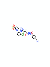 CS(=O)(=O)c1ccc(-c2nnc(/C(F)=C(\F)C(=O)NNC(=O)c3ccc(C#N)cc3)n2-c2ccccc2Cl)nc1